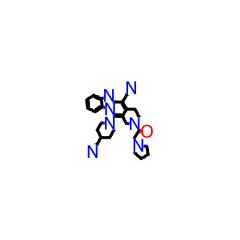 N#Cc1c2c(c(N3CCC(C#N)CC3)n3c1nc1ccccc13)CN(C(=O)CN1CCCC1)CC2